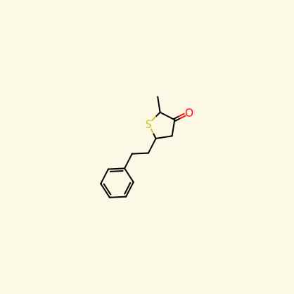 CC1SC(CCc2ccccc2)CC1=O